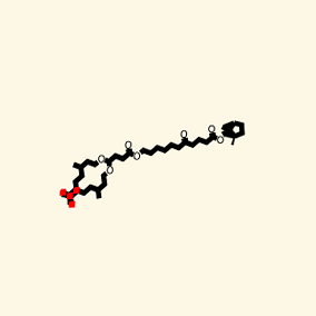 CC(C)=CCCC(C)CCOC(CCC(=O)OCCCCCCC(=O)CCCC(=O)O[C@@H]1CC2CC[C@@]1(C)C2(C)C)OCCC(C)CCC=C(C)C